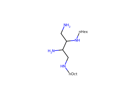 CCCCCCCCNCC(N)C(CN)NCCCCCC